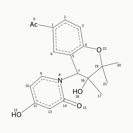 CC(=O)c1ccc2c(c1)C(n1ccc(O)cc1=O)C(C)(O)C(C)(C)O2